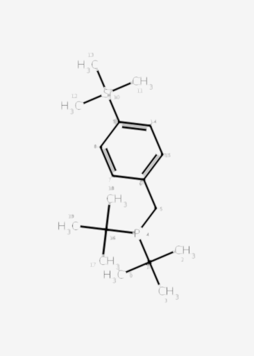 CC(C)(C)P(Cc1ccc([Si](C)(C)C)cc1)C(C)(C)C